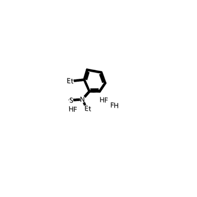 CCc1ccccc1N([S])CC.F.F.F